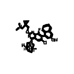 CN(C)CC1(COc2nc(N3C[C@@H]4CC[C@@](C)(C3)N4)c3cc(Cl)c(-c4cc(O)cc5ccccc45)c(F)c3n2)CC1